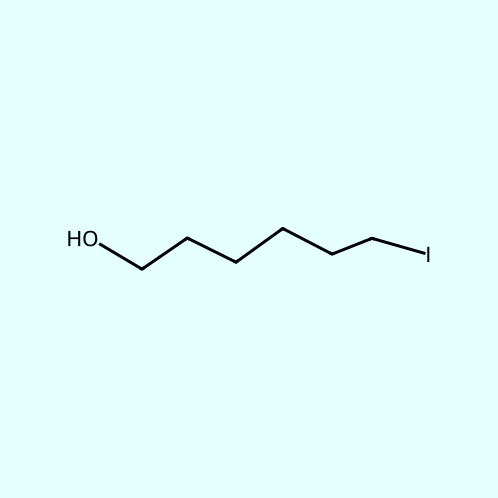 OCCCCCCI